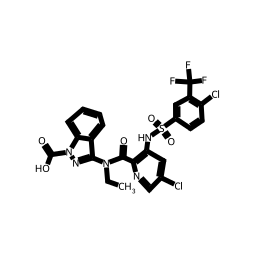 CCN(C(=O)c1ncc(Cl)cc1NS(=O)(=O)c1ccc(Cl)c(C(F)(F)F)c1)c1nn(C(=O)O)c2ccccc12